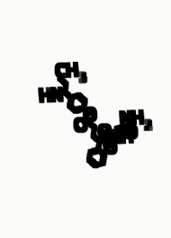 CCCC(=N)c1ccc(OC(=O)CCC(c2ccccc2)S(=O)(=O)NCC(N)=O)cc1